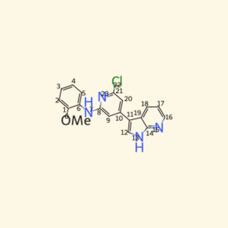 COc1ccccc1Nc1cc(-c2c[nH]c3ncccc23)cc(Cl)n1